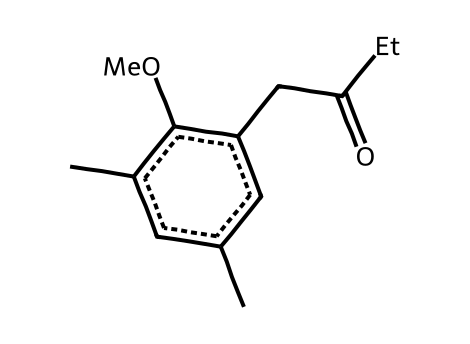 CCC(=O)Cc1cc(C)cc(C)c1OC